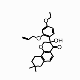 C=CCOc1cc(OCC)ccc1C1(O)COc2c(ccc3c2CCC(C)(C)C3)C1=O